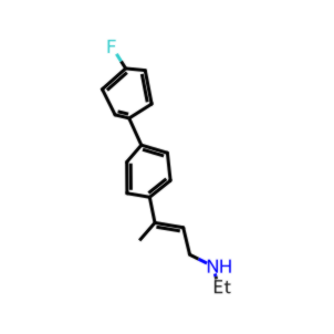 CCNCC=C(C)c1ccc(-c2ccc(F)cc2)cc1